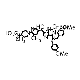 CCCCOc1nc(N(Cc2ccc(OC)cc2)Cc2ccc(OC)cc2)c2ncc(C(O)c3cnc(N4CCC(N(C)C(=O)O)CC4)c(C)c3)n2n1